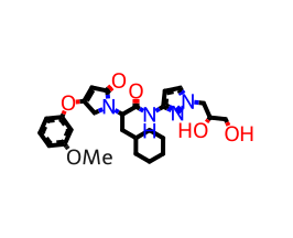 COc1cccc(OC2=CC(=O)N(C(CC3CCCCC3)C(=O)Nc3ccn(CC(O)CO)n3)C2)c1